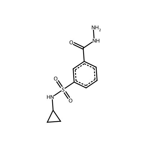 NNC(=O)c1cccc(S(=O)(=O)NC2CC2)c1